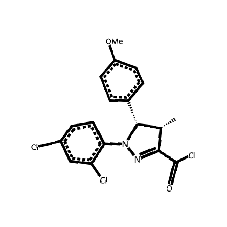 COc1ccc([C@@H]2[C@H](C)C(C(=O)Cl)=NN2c2ccc(Cl)cc2Cl)cc1